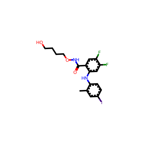 Cc1cc(I)ccc1Nc1cc(F)c(F)cc1C(=O)NOCCCCO